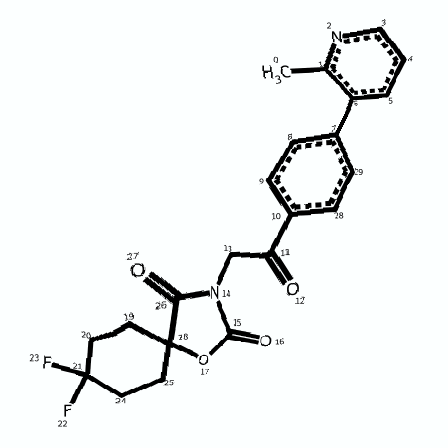 Cc1ncccc1-c1ccc(C(=O)CN2C(=O)OC3(CCC(F)(F)CC3)C2=O)cc1